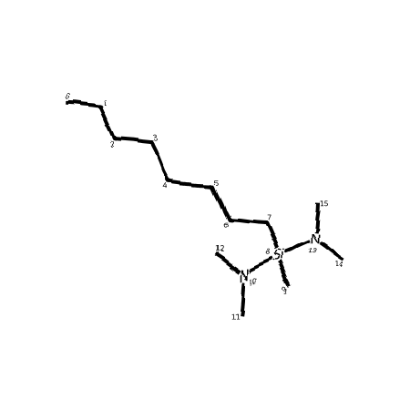 CCCCCCCC[Si](C)(N(C)C)N(C)C